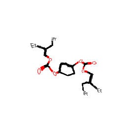 CCC(COC(=O)OC1CCC(OC(=O)OCC(CC)CC(C)C)CC1)CC(C)C